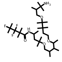 CC(CC(C)(C)OCC(C)C(C)C(C)OCCC(C)(C)C(C)(C)OCC(C)C(C)(C)N)NC(=O)C(C)(C)C(F)(F)C(C)(C)F